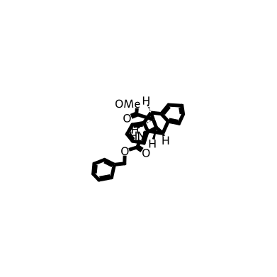 COC(=O)[C@H]1[C@H]2c3ccccc3[C@@H](c3ccccc32)[C@@H]1NC(=O)OCc1ccccc1